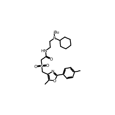 CCC(C)N(CCNC(=O)CS(=O)(=O)Cc1nc(-c2ccc(C)cc2)oc1C)C1CCCCC1